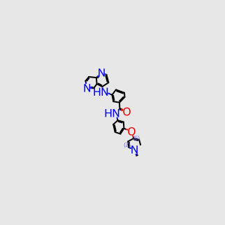 C=N/C=C\C(=C/C)Oc1cccc(NC(=O)c2cccc(Nc3ccnc4ccncc34)c2)c1